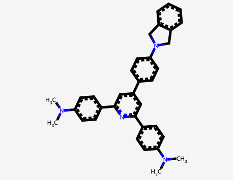 CN(C)c1ccc(-c2cc(-c3ccc(N4Cc5ccccc5C4)cc3)cc(-c3ccc(N(C)C)cc3)n2)cc1